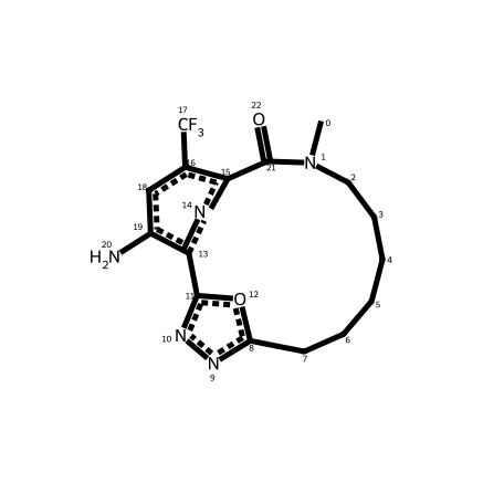 CN1CCCCCCc2nnc(o2)-c2nc(c(C(F)(F)F)cc2N)C1=O